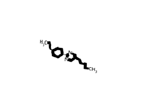 CCCCCc1cnc([C@H]2CC[C@H](CCC)CC2)nc1